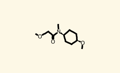 COCC(=O)N(C)[C@H]1CC[C@@H](OC)CC1